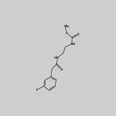 CC(C)(C)OC(=O)NCCNC(=O)Cc1cccc(F)c1